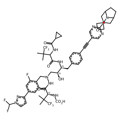 CC(C)(C(NC(=O)C1CC1)C(=O)N[C@@H](Cc1ccc(C#Cc2cnc(N3CC4CCC(C3)N4C3COC3)nc2)cc1)[C@@H](O)CN(Cc1c(F)cc(-c2ccn(C(F)F)n2)cc1F)NC(=O)[C@@H](NC(=O)O)C(C)(C)C(F)(F)F)C(F)(F)F